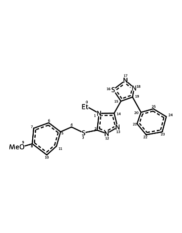 CCn1c(SCc2ccc(OC)cc2)nnc1-c1snnc1-c1ccccc1